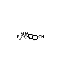 N#CC1C=Cc2cc(OS(=O)(=O)C(F)(F)F)ccc2C1